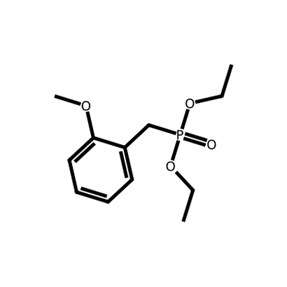 CCOP(=O)(Cc1ccccc1OC)OCC